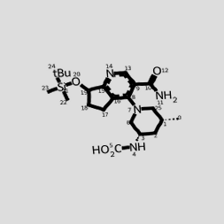 C[C@@H]1C[C@H](NC(=O)O)CN(c2c(C(N)=O)cnc3c2CCC3O[Si](C)(C)C(C)(C)C)C1